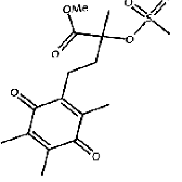 COC(=O)C(C)(CCC1=C(C)C(=O)C(C)=C(C)C1=O)OS(C)(=O)=O